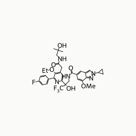 CCOc1c(CC(=O)NCC(C)(C)O)cc([C@@](O)(CNC(=O)c2cc(OC)c3nn(C4CC4)cc3c2)C(F)(F)F)nc1-c1ccc(F)cc1